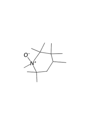 CC1CC(C)(C)[N+](C)([O-])C(C)(C)C1(C)C